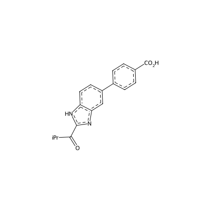 CC(C)C(=O)c1nc2cc(-c3ccc(C(=O)O)cc3)ccc2[nH]1